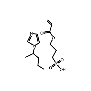 C=CC(=O)OCCCS(=O)(=O)O.CCCC(C)n1ccnc1